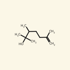 C=C(C)CCC(C)C(C)(C)O